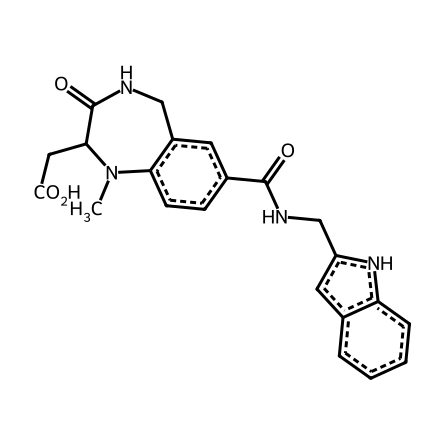 CN1c2ccc(C(=O)NCc3cc4ccccc4[nH]3)cc2CNC(=O)C1CC(=O)O